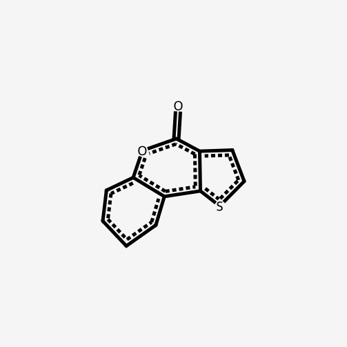 O=c1oc2ccccc2c2sccc12